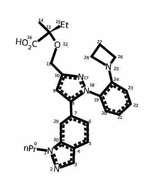 CCCn1ncc2ccc(-c3cc(CO[C@](C)(CC)C(=O)O)nn3-c3ccccc3N3CCC3)cc21